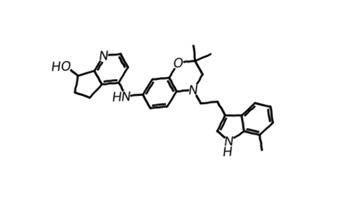 Cc1cccc2c(CCN3CC(C)(C)Oc4cc(Nc5ccnc6c5CCC6O)ccc43)c[nH]c12